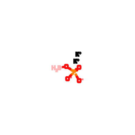 BOP(=O)([O-])[O-].[K+].[K+]